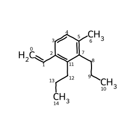 C=Cc1ccc(C)c(CCC)c1CCC